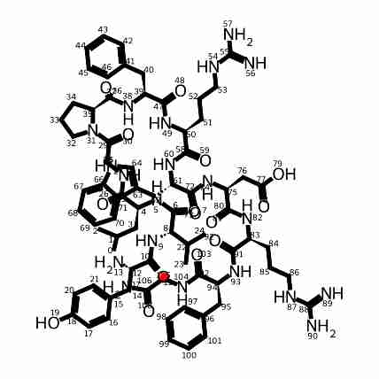 CC(C)C[C@H](NC(=O)[C@@H](NC(=O)[C@@H](N)Cc1ccc(O)cc1)C(C)C)C(=O)NCC(=O)N1CCC[C@H]1C(=O)N[C@@H](Cc1ccccc1)C(=O)N[C@@H](CCCNC(=N)N)C(=O)N[C@@H](Cc1c[nH]c2ccccc12)C(=O)N[C@@H](CC(=O)O)C(=O)N[C@@H](CCCNC(=N)N)C(=O)N[C@@H](Cc1ccccc1)C(=O)NCC(N)=O